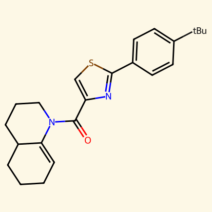 CC(C)(C)c1ccc(-c2nc(C(=O)N3CCCC4CCCC=C43)cs2)cc1